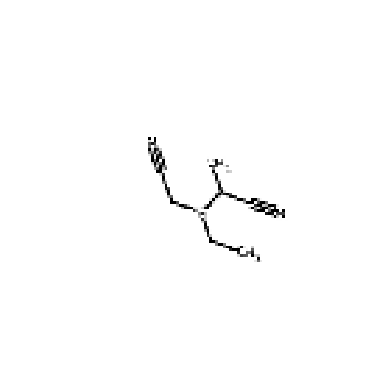 CCN(CC#N)C(C)C#N